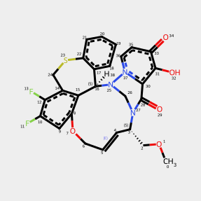 COC[C@@H]1/C=C/COc2cc(F)c(F)c3c2[C@@H](c2ccccc2SC3)N2CN1C(=O)c1c(O)c(=O)ccn12